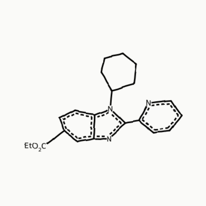 CCOC(=O)c1ccc2c(c1)nc(-c1ccccn1)n2C1CCCCC1